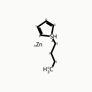 CCCC[SH]1C=CC=C1.[Zn]